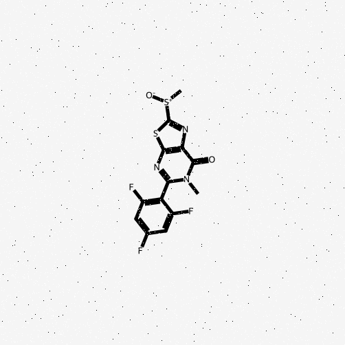 Cn1c(-c2c(F)cc(F)cc2F)nc2sc([S+](C)[O-])nc2c1=O